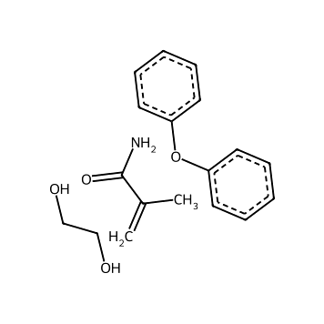 C=C(C)C(N)=O.OCCO.c1ccc(Oc2ccccc2)cc1